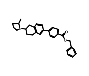 CC1CCCN1C1CCc2cc(-c3ccc(C(=O)OCc4ccccc4)cc3)ccc2C1